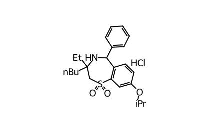 CCCCC1(CC)CS(=O)(=O)c2cc(OC(C)C)ccc2C(c2ccccc2)N1.Cl